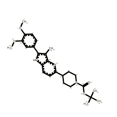 COc1ccc(-c2[nH]c3ccc(C4CCN(C(=O)OC(C)(C)C)CC4)nc3c2C)cc1OC